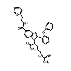 N=C(N)NCCC[C@@H](C(N)=O)n1c(-c2ccccc2Oc2ccccc2)nc2cc(C(=O)NCCc3ccccn3)ccc21